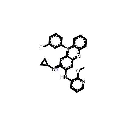 COc1ncccc1Nc1cc2nc3ccccc3n(-c3cccc(Cl)c3)c-2c/c1=N\C1CC1